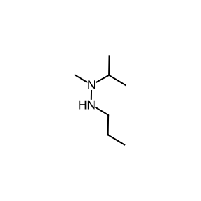 CCCNN(C)C(C)C